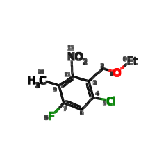 CCOCc1c(Cl)cc(F)c(C)c1[N+](=O)[O-]